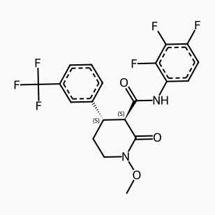 CON1CC[C@H](c2cccc(C(F)(F)F)c2)[C@@H](C(=O)Nc2ccc(F)c(F)c2F)C1=O